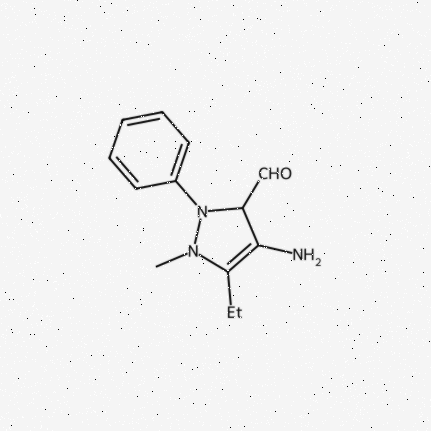 CCC1=C(N)C(C=O)N(c2ccccc2)N1C